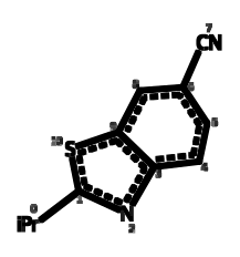 CC(C)c1nc2ccc(C#N)cc2s1